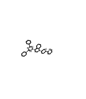 c1ccc(-c2nc(-c3ccccc3)nc(-c3ccc(-c4ccc(-c5ccccn5)nc4)c4ccccc34)n2)cc1